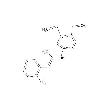 C=Cc1ccc(N/C(C)=C/c2ccccc2C)cc1C=C